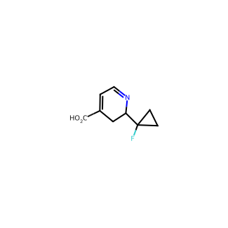 O=C(O)C1=CC=NC(C2(F)CC2)C1